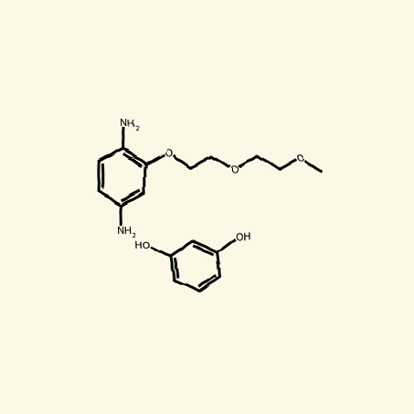 COCCOCCOc1cc(N)ccc1N.Oc1cccc(O)c1